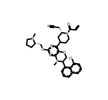 C=CC(=O)N1CCC(c2nc(OC[C@@H]3CCCN3C)nc3c2OCC(c2cccc4cccc(Cl)c24)N3C)C[C@@H]1CC#N